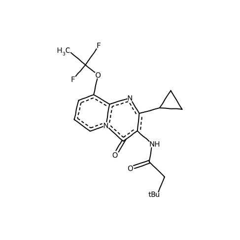 CC(C)(C)CC(=O)Nc1c(C2CC2)nc2c(OC(C)(F)F)cccn2c1=O